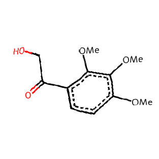 COc1ccc(C(=O)CO)c(OC)c1OC